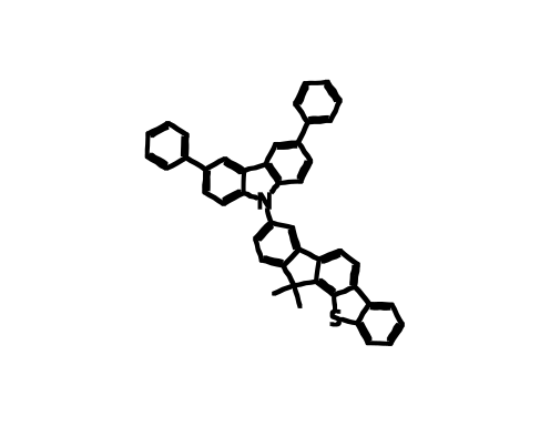 CC1(C)c2ccc(-n3c4ccc(-c5ccccc5)cc4c4cc(-c5ccccc5)ccc43)cc2-c2ccc3c(sc4ccccc43)c21